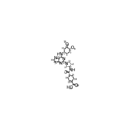 COc1ccc(Nc2nc(N3CCC(NC(=O)c4ccc(C(=O)O)cc4)C3)nc3scnc23)cc1OC